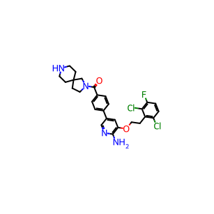 Nc1ncc(-c2ccc(C(=O)N3CCC4(CCNCC4)C3)cc2)cc1OCCc1c(Cl)ccc(F)c1Cl